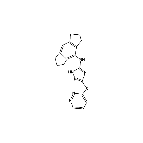 c1cnnc(Sc2n[nH]c(Nc3c4c(cc5c3CCC5)CCC4)n2)c1